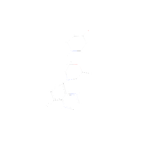 CC1CN(c2ccc(C#N)c3nccnc23)C[C@H](CN2CCC(O)CC2)O1